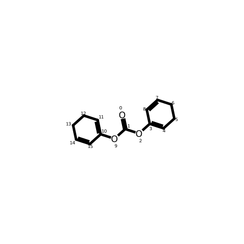 O=C(OC1=CCCC=C1)OC1=CCCC=C1